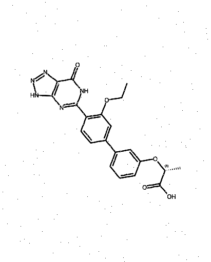 CCOc1cc(-c2cccc(O[C@H](C)C(=O)O)c2)ccc1-c1nc2[nH]nnc2c(=O)[nH]1